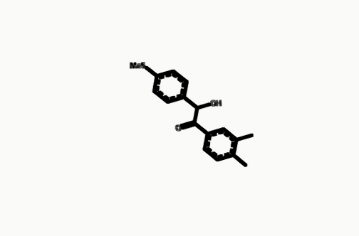 CSc1ccc(C(O)C(=O)c2ccc(C)c(C)c2)cc1